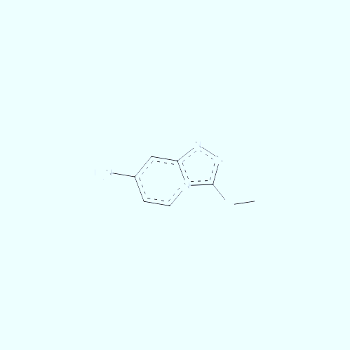 COc1nnc2cc(N)ccn12